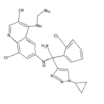 BC(Nc1cc(Cl)c2ncc(C#N)c(NCC(C)(C)C)c2c1)(c1cn(C2CC2)nn1)c1ccccc1Cl